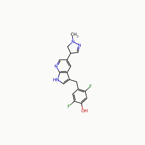 CN1CC(c2cnc3[nH]cc(Cc4cc(F)c(O)cc4F)c3c2)C=N1